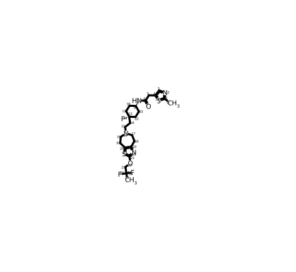 Cc1ncc(CC(=O)N[C@H]2CC[C@](F)(CCN3CCc4nc(OCC(C)(F)F)sc4CC3)CC2)s1